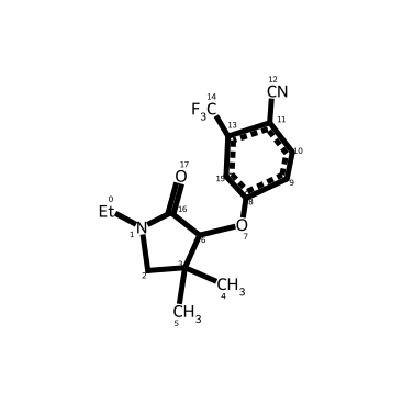 CCN1CC(C)(C)C(Oc2ccc(C#N)c(C(F)(F)F)c2)C1=O